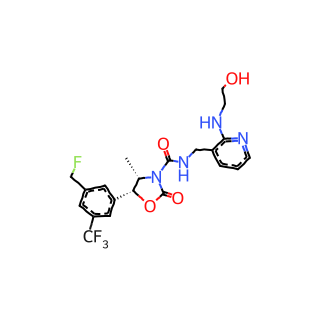 C[C@H]1[C@@H](c2cc(CF)cc(C(F)(F)F)c2)OC(=O)N1C(=O)NCc1cccnc1NCCO